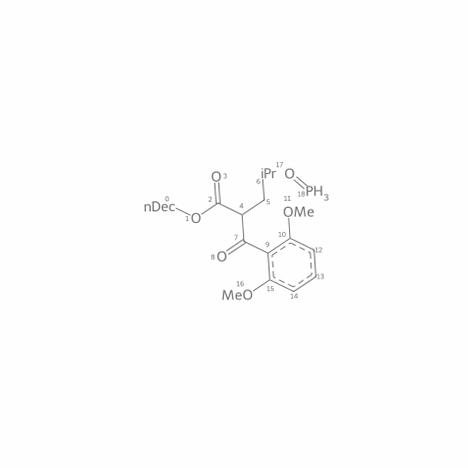 CCCCCCCCCCOC(=O)C(CC(C)C)C(=O)c1c(OC)cccc1OC.O=[PH3]